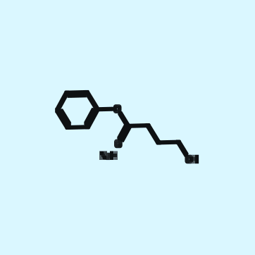 O=C(CCCO)Oc1ccccc1.[NaH]